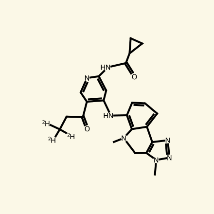 [2H]C([2H])([2H])CC(=O)c1cnc(NC(=O)C2CC2)cc1Nc1cccc2c1N(C)Cc1c-2nnn1C